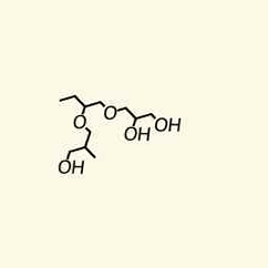 CCC(COCC(O)CO)OCC(C)CO